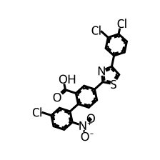 O=C(O)c1cc(-c2nc(-c3ccc(Cl)c(Cl)c3)cs2)ccc1-c1cc(Cl)ccc1[N+](=O)[O-]